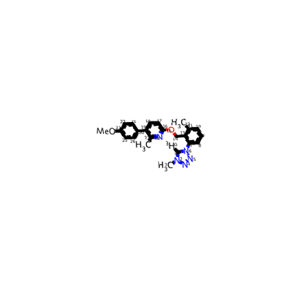 [3H]C1N(C)N=NN1c1cccc(C)c1COc1ccc(-c2ccc(OC)cc2)c(C)n1